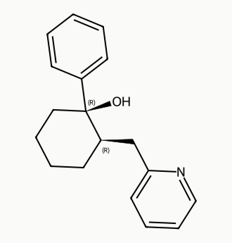 O[C@]1(c2ccccc2)CCCC[C@@H]1Cc1ccccn1